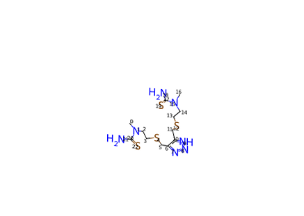 CN(CCSCc1nn[nH]c1CSCCN(C)C(N)=S)C(N)=S